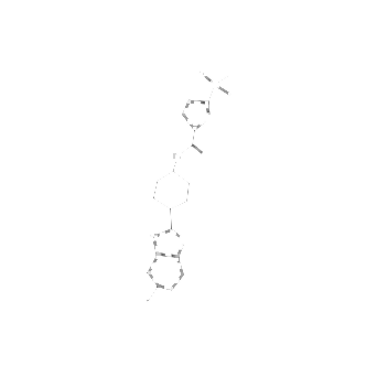 CS(=N)(=O)c1ccc(C(=O)NC2CCC(c3nc4cc(Cl)ccc4o3)CC2)o1